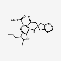 C=CCN1c2cc(C(=O)OC)c3c(c2NC1C)NC1(CC3=O)Cc2ccccc2C1